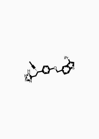 CC#C[C@@H](Cc1nnn[nH]1)c1ccc(OCc2ccc3scc(C(C)C)c3c2)cc1